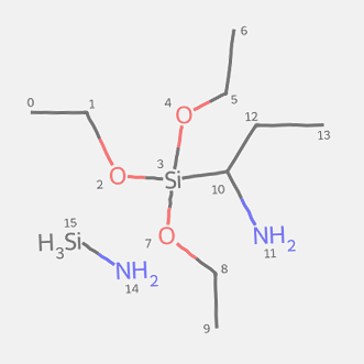 CCO[Si](OCC)(OCC)C(N)CC.N[SiH3]